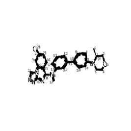 C[C@H]1COCCN1c1ccc(-c2cccc(N(C)c3nc4nncn4c4cc(Cl)ccc34)c2)cc1